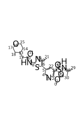 COc1ncc(-c2sc(NC(=O)CC3CCOCC3)nc2C)cc1S(=O)(=O)NC(C)C